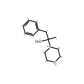 CC(C=O)(Cc1ccccc1)N1CCOCC1